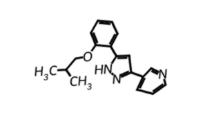 CC(C)COc1ccccc1-c1cc(-c2cccnc2)n[nH]1